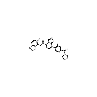 Cc1cc(C(=O)N2CCCC2)ncc1-c1cnc(NCc2c(F)ccc3c2CCO3)n2cnnc12